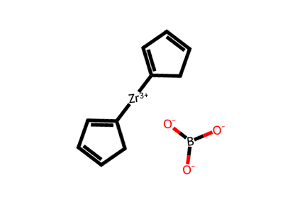 C1=CC[C]([Zr+3][C]2=CC=CC2)=C1.[O-]B([O-])[O-]